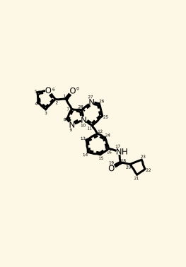 O=C(c1ccco1)c1cnn2c(-c3cccc(NC(=O)C4CCC4)c3)ccnc12